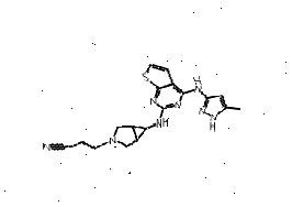 Cc1cc(Nc2nc(NC3C4CN(CCC#N)CC43)nc3sccc23)n[nH]1